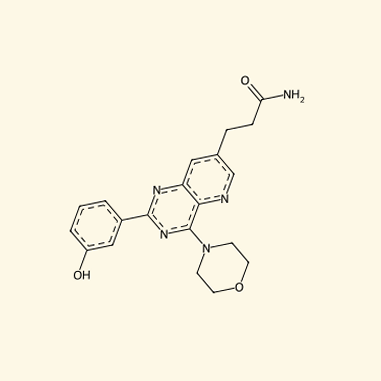 NC(=O)CCc1cnc2c(N3CCOCC3)nc(-c3cccc(O)c3)nc2c1